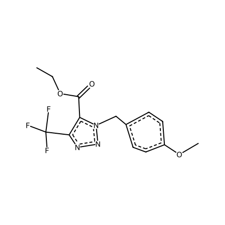 CCOC(=O)c1c(C(F)(F)F)nnn1Cc1ccc(OC)cc1